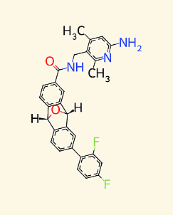 Cc1cc(N)nc(C)c1CNC(=O)c1ccc2c(c1)[C@H]1O[C@@H]2c2ccc(-c3ccc(F)cc3F)cc21